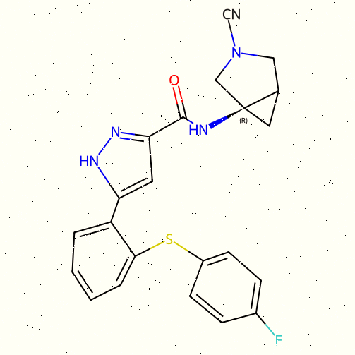 N#CN1CC2C[C@]2(NC(=O)c2cc(-c3ccccc3Sc3ccc(F)cc3)[nH]n2)C1